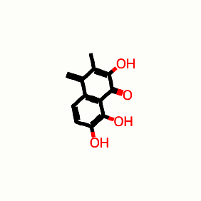 C=C1C(C)=C(O)C(=O)c2c1ccc(O)c2O